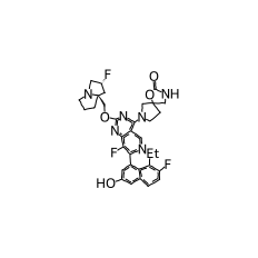 CCc1c(F)ccc2cc(O)cc(-c3ncc4c(N5CCC6(CNC(=O)O6)C5)nc(OC[C@@]56CCCN5C[C@H](F)C6)nc4c3F)c12